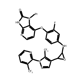 CC(C)n1c(=O)[nH]c2nccc(Oc3ccc(NC4OC4c4cnn(-c5ncccc5C(F)(F)F)c4C(F)(F)F)cc3F)c21